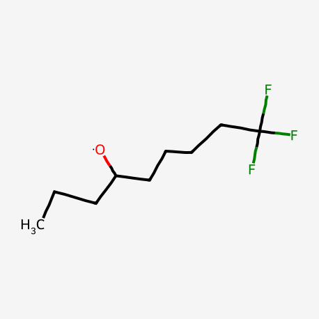 CCCC([O])CCCCC(F)(F)F